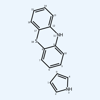 c1cc[nH]c1.c1ccc2c(c1)Nc1ccccc1S2